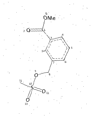 COC(=O)c1cccc(COS(C)(=O)=O)c1